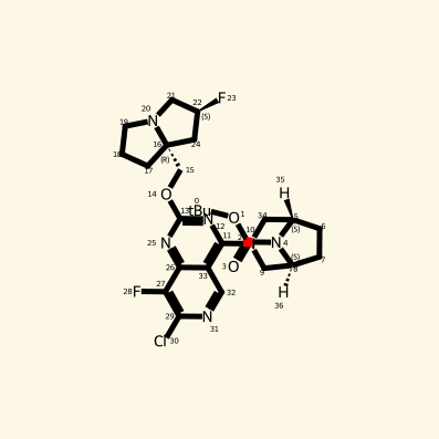 CC(C)(C)OC(=O)N1[C@H]2CC[C@H]1CN(c1nc(OC[C@]34CCCN3C[C@@H](F)C4)nc3c(F)c(Cl)ncc13)C2